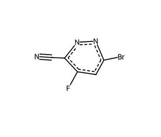 N#Cc1nnc(Br)cc1F